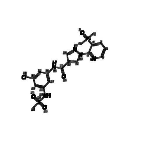 CP(C)(=O)c1cccnc1-n1cc(C(=O)Nc2cc(Cl)cc(NS(C)(=O)=O)c2)cn1